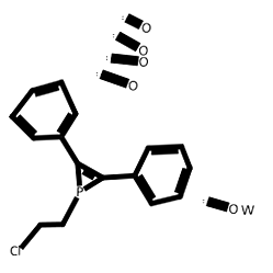 ClCCP1C(c2ccccc2)=C1c1ccccc1.[C]=O.[C]=O.[C]=O.[C]=O.[C]=O.[W]